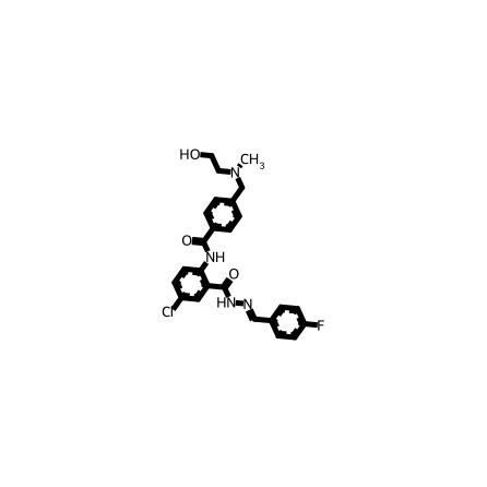 CN(CCO)Cc1ccc(C(=O)Nc2ccc(Cl)cc2C(=O)NN=Cc2ccc(F)cc2)cc1